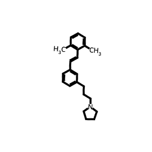 Cc1cccc(C)c1C=Cc1cccc(CCCN2CCCC2)c1